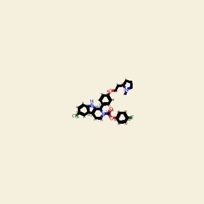 CN1CCCC1CCOc1ccc(C2c3[nH]c4ccc(Cl)cc4c3CCN2C(=O)Oc2ccc(F)cc2)cc1